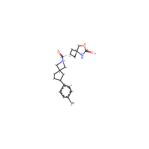 CC(C)c1ccc(C2CCC3(C2)CN(C(=O)[C@H]2C[C@]4(COC(=O)N4)C2)C3)cc1